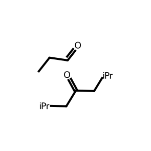 CC(C)CC(=O)CC(C)C.CCC=O